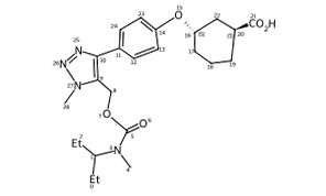 CCC(CC)N(C)C(=O)OCc1c(-c2ccc(O[C@H]3CCC[C@H](C(=O)O)C3)cc2)nnn1C